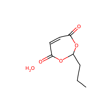 CCCC1OC(=O)C=CC(=O)O1.O